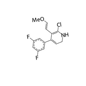 CO/C=C/C1=C(Cl)NCC=C1c1cc(F)cc(F)c1